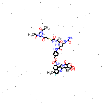 C=CC(=O)N1CN(C(=O)C=C)CN(C(=O)CCSCC(=O)NC(C(=O)N[C@@H](CCCNC(N)=O)C(=O)Nc2ccc(COC(=O)N[C@H]3CCc4c(C)c(F)cc5nc6c(c3c45)Cn3c-6cc4c(c3=O)COC(=O)[C@]4(O)CC)cc2)C(C)C)C1